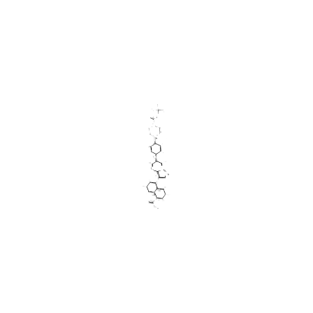 C[C@@H]1CN(C(=O)OC(C)(C)C)C[C@H](C)N1c1ccc(-c2cnc3c(-c4cccc5c(C(=O)O)cccc45)cnn3c2)cc1